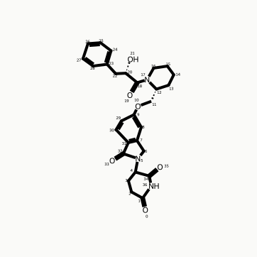 O=C1CCC(N2Cc3cc(OC[C@H]4CCCCN4C(=O)[C@@H](O)Cc4ccccc4)ccc3C2=O)C(=O)N1